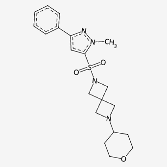 Cn1nc(-c2ccccc2)cc1S(=O)(=O)N1CC2(CN(C3CCOCC3)C2)C1